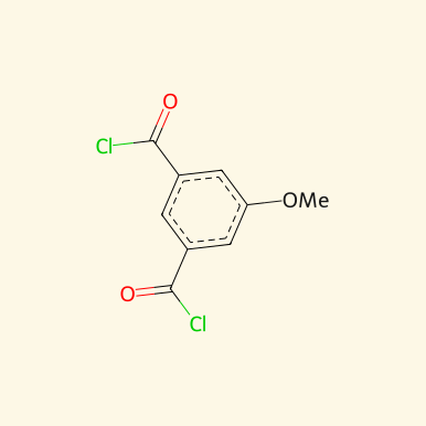 COc1cc(C(=O)Cl)cc(C(=O)Cl)c1